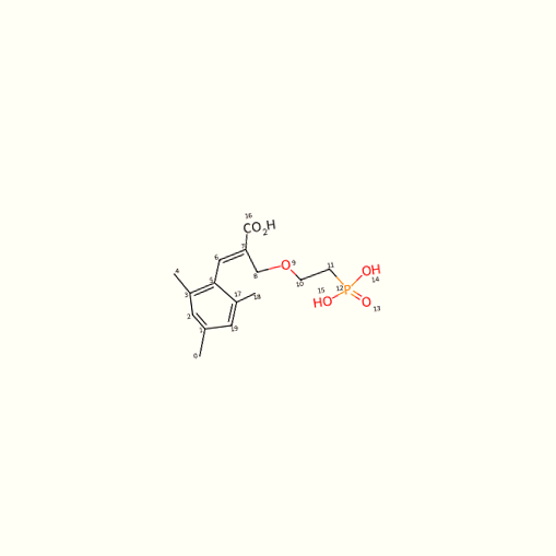 Cc1cc(C)c(C=C(COCCP(=O)(O)O)C(=O)O)c(C)c1